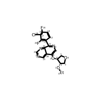 CCO[C@H]1COC[C@@H]1Oc1cnc(-c2ccc(F)c(Cl)c2F)c2ncncc12